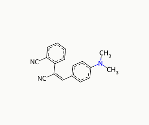 CN(C)c1ccc(C=C(C#N)c2ccccc2C#N)cc1